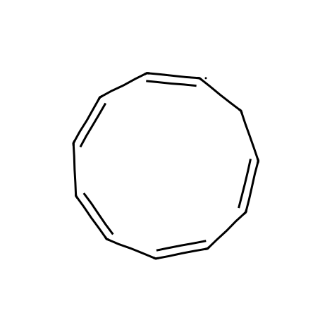 [C]1=CC=CC=CC=CC=CC1